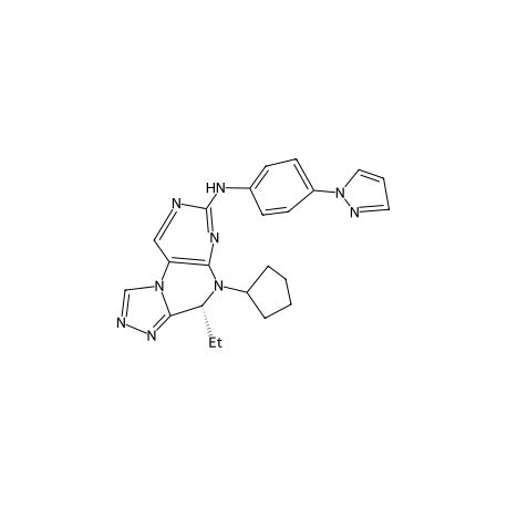 CC[C@@H]1c2nncn2-c2cnc(Nc3ccc(-n4cccn4)cc3)nc2N1C1CCCC1